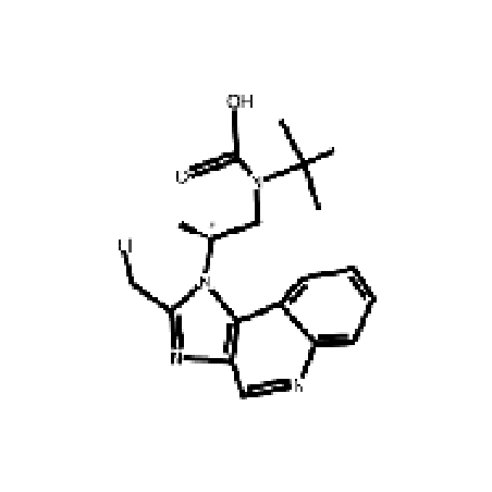 C[C@@H](CN(C(=O)O)C(C)(C)C)n1c(CCl)nc2cnc3ccccc3c21